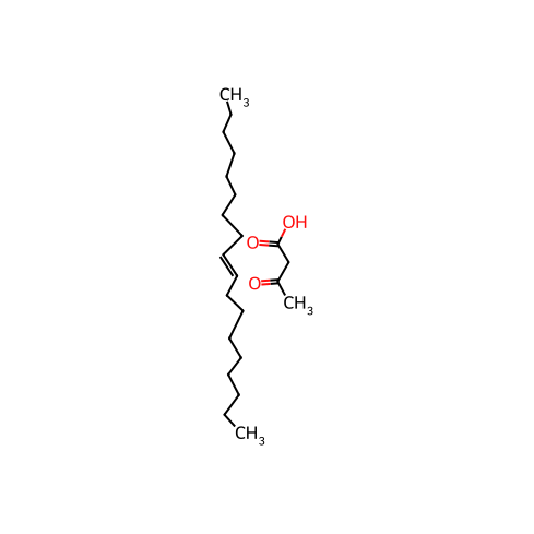 CC(=O)CC(=O)O.CCCCCCCCC=CCCCCCCCC